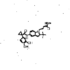 CNC(=O)CCCN1c2ccc(NC(=O)C3(c4ccc(O)c(O)c4)CC3)cc2CC1C(C)(C)C